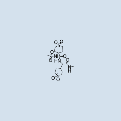 CNC(=O)C(NC(=O)C1(NS(C)(=O)=O)CCS(=O)(=O)CC1)C1CCS(=O)(=O)CC1